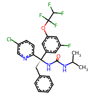 CC(C)NC(=O)N[C@](Cc1ccccc1)(c1cc(F)cc(OC(F)(F)C(F)F)c1)c1ccc(Cl)cn1